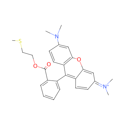 CSCCOC(=O)c1ccccc1-c1c2ccc(=[N+](C)C)cc-2oc2cc(N(C)C)ccc12